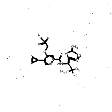 CC1NC(C(NC(=O)c2cc(OCC(F)(F)F)c(C3CC3)cn2)C(C)(C)C)=NO1